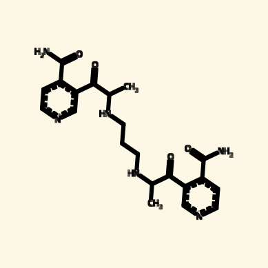 CC(NCCCNC(C)C(=O)c1cnccc1C(N)=O)C(=O)c1cnccc1C(N)=O